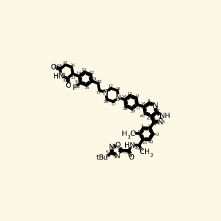 Cc1cc(-c2n[nH]c3ncc(-c4ccc(N5CCN(CCc6ccc(C7CCC(=O)NC7=O)c(F)c6)CC5)cc4)cc23)ccc1C(C)NC(=O)c1nc(C(C)(C)C)no1